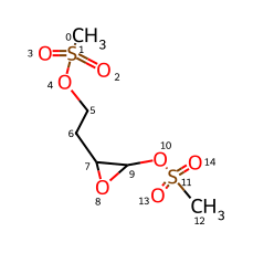 CS(=O)(=O)OCCC1OC1OS(C)(=O)=O